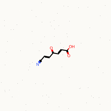 N#CC=CC(=O)C=CC(=O)O